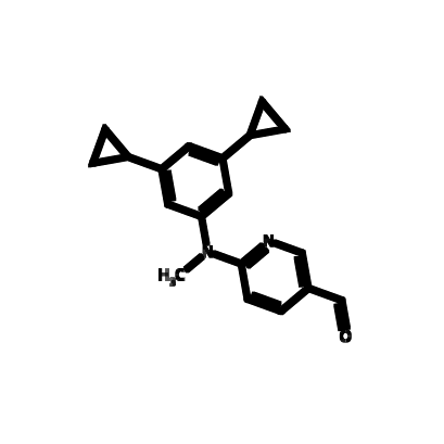 CN(c1cc(C2CC2)cc(C2CC2)c1)c1ccc(C=O)cn1